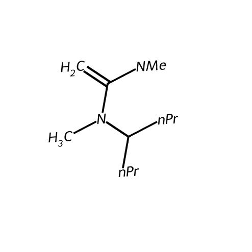 C=C(NC)N(C)C(CCC)CCC